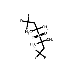 CC(C)(CC(F)(F)F)S(=O)(=O)C(C)(C)CC(F)(F)F